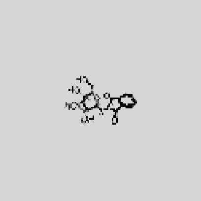 O=C1c2ccccc2C(=O)N1S[C@@H]1O[C@H](CO)[C@@H](O)[C@H](O)[C@H]1O